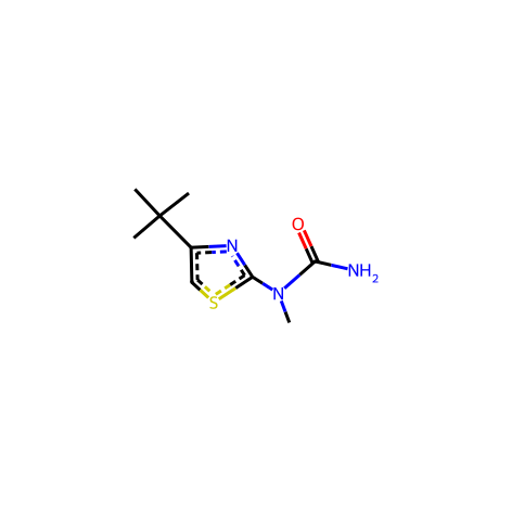 CN(C(N)=O)c1nc(C(C)(C)C)cs1